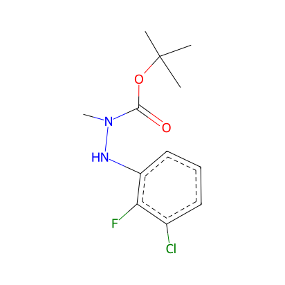 CN(Nc1cccc(Cl)c1F)C(=O)OC(C)(C)C